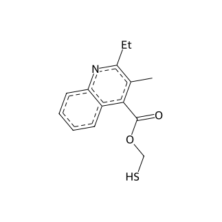 CCc1nc2ccccc2c(C(=O)OCS)c1C